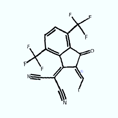 N#CC(C#N)=C1/C(=C\I)C(=O)c2c(C(F)(F)F)ccc(C(F)(F)F)c21